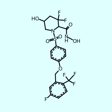 O=C(NO)C1N(S(=O)(=O)c2ccc(OCc3cc(F)ccc3C(F)(F)F)cc2)CC(O)CC1(F)F